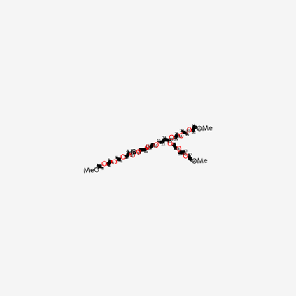 COCCOCCOCCOCCOBOCCOCCOCCCC(OCCOCCOCCOC)OCCOCCOCCOC